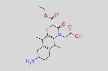 CCOC(=O)C1SC2=C(C(C)C3=C(CC(N)CC3)C2C)N(CC(=O)O)C1=O